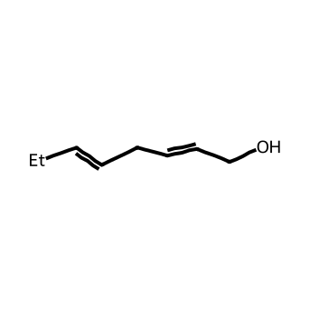 CCC=CCC=CCO